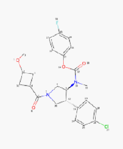 COC1CC(C(=O)N2C[C@@H](N(C)C(=O)Oc3ccc(F)cc3)[C@H](c3ccc(Cl)cc3)C2)C1